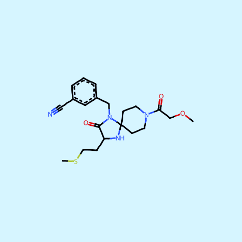 COCC(=O)N1CCC2(CC1)NC(CCSC)C(=O)N2Cc1cccc(C#N)c1